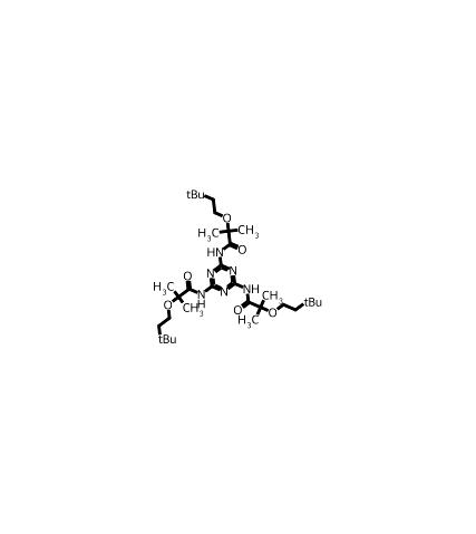 CC(C)(C)CCOC(C)(C)C(=O)Nc1nc(NC(=O)C(C)(C)OCCC(C)(C)C)nc(NC(=O)C(C)(C)OCCC(C)(C)C)n1